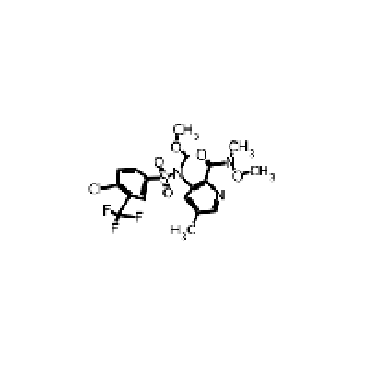 COCN(c1cc(C)cnc1C(=O)N(C)OC)S(=O)(=O)c1ccc(Cl)c(C(F)(F)F)c1